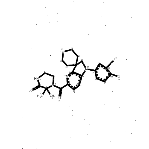 CC1(C)C(=O)NCCN1C(=O)c1ccc2c(n1)C1(CCOCC1)CN2c1ccc(Cl)c(F)c1